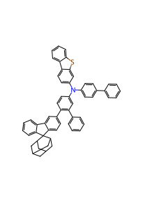 c1ccc(-c2ccc(N(c3ccc(-c4ccc5c(c4)-c4ccccc4C54C5CC6CC(C5)CC4C6)c(-c4ccccc4)c3)c3ccc4c(c3)sc3ccccc34)cc2)cc1